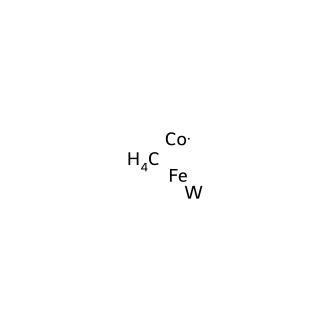 C.[Co].[Fe].[W]